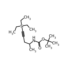 CC[Si](C#CCC(C)NC(=O)OC(C)(C)C)(CC)CC